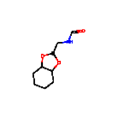 O=CNCB1OC2CCCCC2O1